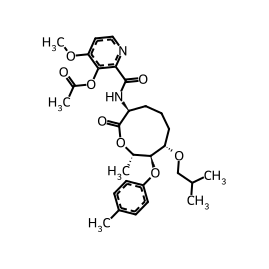 COc1ccnc(C(=O)N[C@H]2CCC[C@H](OCC(C)C)[C@@H](Oc3ccc(C)cc3)[C@H](C)OC2=O)c1OC(C)=O